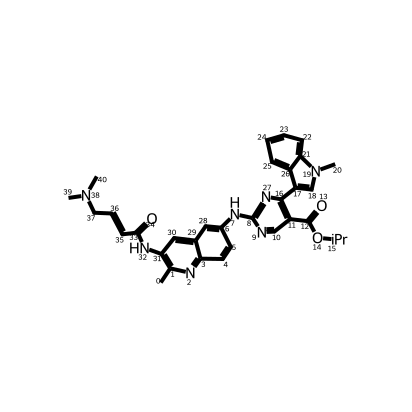 Cc1nc2ccc(Nc3ncc(C(=O)OC(C)C)c(-c4cn(C)c5ccccc45)n3)cc2cc1NC(=O)/C=C/CN(C)C